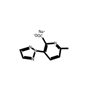 Cc1ccc(-n2nccn2)c(C(=O)[O-])n1.[Na+]